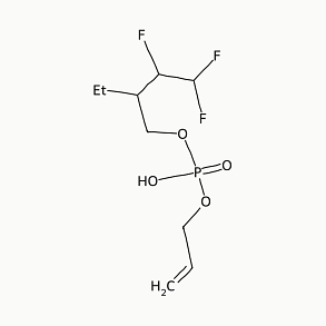 C=CCOP(=O)(O)OCC(CC)C(F)C(F)F